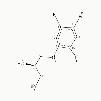 CC(C)C[C@@H](C)COc1cc(F)c(Br)cc1F